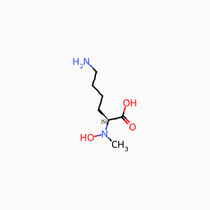 CN(O)[C@@H](CCCCN)C(=O)O